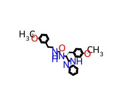 COc1ccc(C[C@@H](NC(=O)NCCc2cccc(OC)c2)c2nc3ccccc3[nH]2)cc1